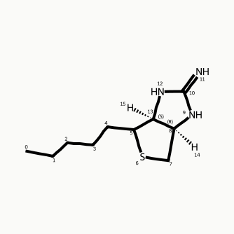 CCCCCC1SC[C@@H]2NC(=N)N[C@H]12